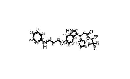 O=C(CC(c1cccs1)c1c[nH]c2cc(OCCCNc3ccccn3)ccc12)OC(=O)C(F)(F)F